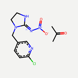 CC(C)=O.O=[N+]([O-])/N=C1\NCCN1Cc1ccc(Cl)nc1